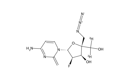 [2H]C([2H])(O)[C@@]1(CN=[N+]=[N-])O[C@@H](N2C=CC(N)=NC2=C)[C@H](F)[C@@H]1O